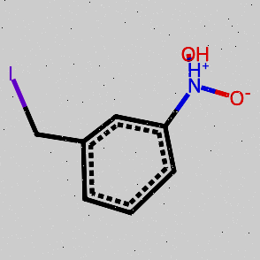 [O-][NH+](O)c1cccc(CI)c1